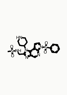 CS(=O)(=O)NCc1nc2cnc3c(ccn3S(=O)(=O)c3ccccc3)c2n1C1CCNCC1